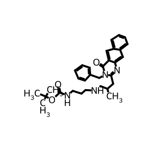 CC(CNCCCNC(=O)OC(C)(C)C)Cc1nc2cc3ccccc3cc2c(=O)n1Cc1ccccc1